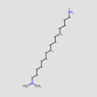 CN(C)CCCCCCCCCCCCCCCCN